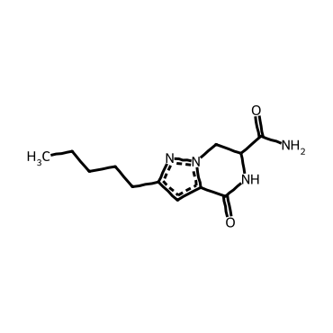 CCCCCc1cc2n(n1)CC(C(N)=O)NC2=O